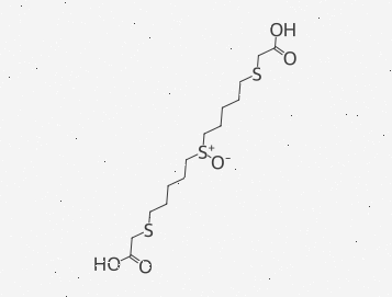 O=C(O)CSCCCCC[S+]([O-])CCCCCSCC(=O)O